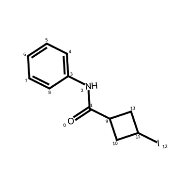 O=C(Nc1ccccc1)C1CC(I)C1